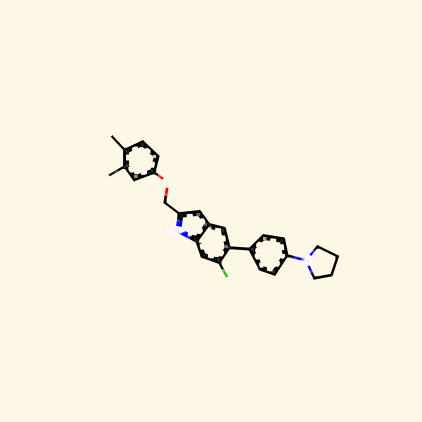 Cc1ccc(OCc2cc3cc(-c4ccc(N5CCCC5)cc4)c(Cl)cc3[nH]2)cc1C(=O)O